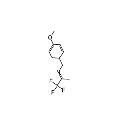 COc1ccc(C/N=C(\C)C(F)(F)F)cc1